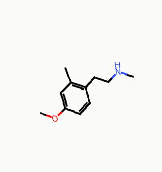 CNCCc1ccc(OC)cc1C